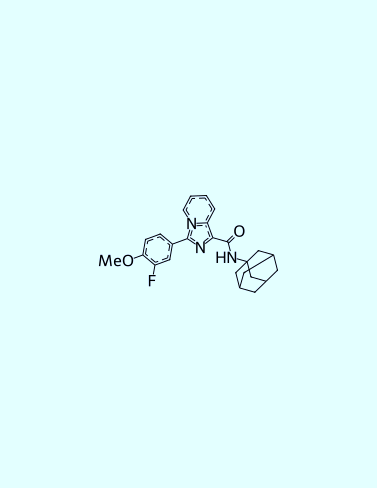 COc1ccc(-c2nc(C(=O)NC34CC5CC(CC(C5)C3)C4)c3ccccn23)cc1F